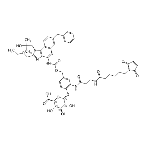 CCOCc1nc2c(NC(=O)OCc3ccc(O[C@@H]4O[C@H](C(=O)O)[C@@H](O)[C@H](O)[C@H]4O)c(NC(=O)CCNC(=O)CCCCCN4C(=O)C=CC4=O)c3)nc3cc(Cc4ccccc4)ccc3c2n1CC(C)(C)O